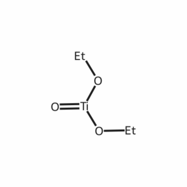 CC[O][Ti](=[O])[O]CC